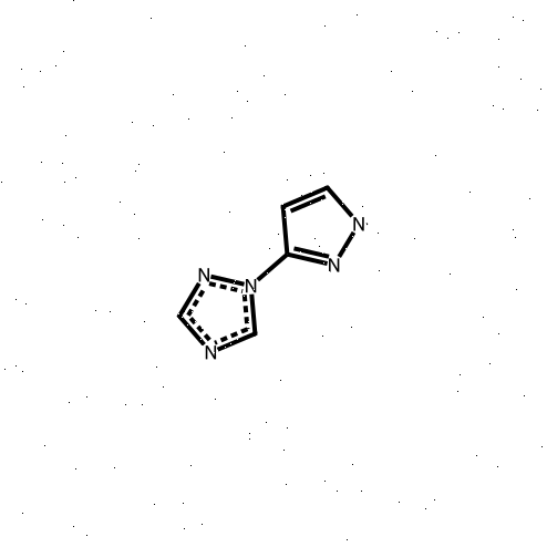 C1=CC(n2cncn2)=N[N]1